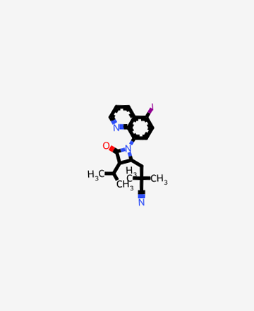 CC(C)C1C(=O)N(c2ccc(I)c3cccnc23)C1CC(C)(C)C#N